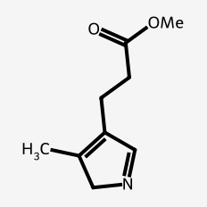 COC(=O)CCC1=C(C)CN=C1